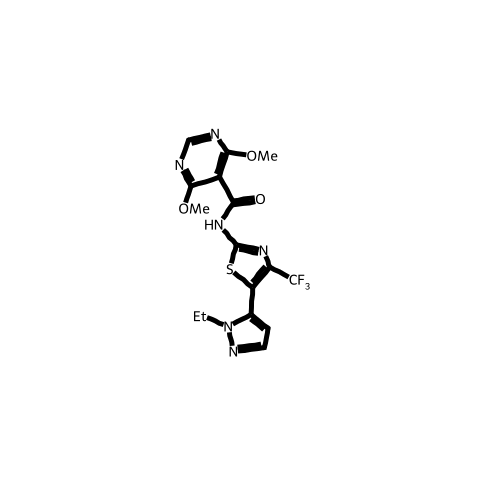 CCn1nccc1-c1sc(NC(=O)c2c(OC)ncnc2OC)nc1C(F)(F)F